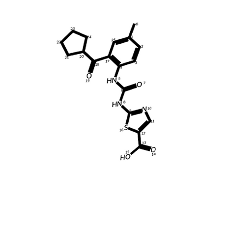 Cc1ccc(NC(=O)Nc2ncc(C(=O)O)s2)c(C(=O)C2CCCC2)c1